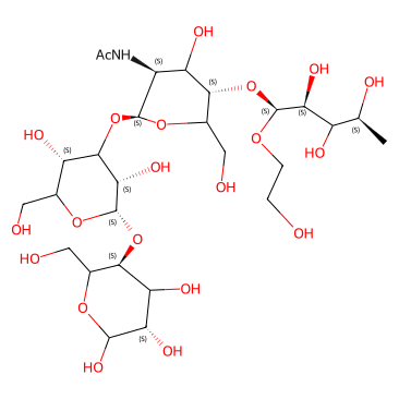 CC(=O)N[C@H]1C(O)[C@H](O[C@H](OCCO)[C@@H](O)C(O)[C@H](C)O)C(CO)O[C@H]1OC1[C@@H](O)C(CO)O[C@@H](O[C@@H]2C(CO)OC(O)[C@@H](O)C2O)[C@H]1O